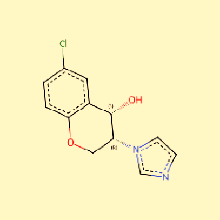 O[C@H]1c2cc(Cl)ccc2OC[C@H]1n1ccnc1